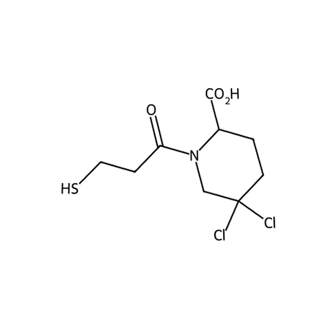 O=C(O)C1CCC(Cl)(Cl)CN1C(=O)CCS